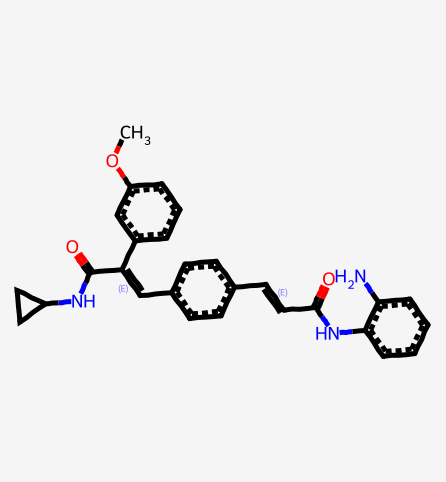 COc1cccc(/C(=C\c2ccc(/C=C/C(=O)Nc3ccccc3N)cc2)C(=O)NC2CC2)c1